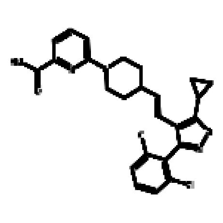 O=C(O)c1cccc(N2CCC(C=Cc3c(-c4c(Cl)cccc4Cl)noc3C3CC3)CC2)n1